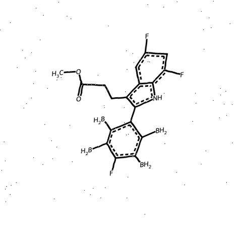 Bc1c(B)c(-c2[nH]c3c(F)cc(F)cc3c2CCC(=O)OC)c(B)c(B)c1F